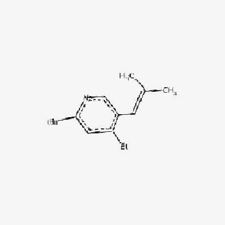 CCc1cc(C(C)(C)C)ncc1C=C(C)C